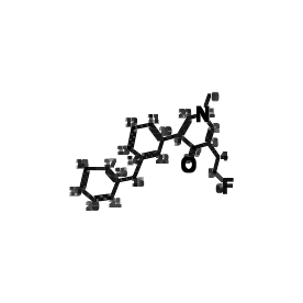 Cn1cc(CCF)c(=O)c(-c2cccc(Cc3ccccc3)c2)c1